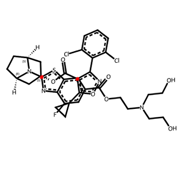 O=C(OCCN(CCO)CCO)c1cc(F)c2nc(N3[C@@H]4CC[C@H]3C[C@H](OC(=O)c3c(-c5c(Cl)cccc5Cl)noc3C3CC3)C4)sc2c1